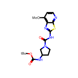 COc1ccnc2sc(NC(=O)N3CCC(NC(=O)OC(C)(C)C)C3)nc12